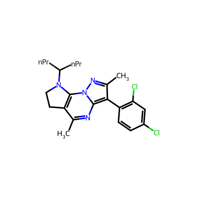 CCCC(CCC)N1CCc2c(C)nc3c(-c4ccc(Cl)cc4Cl)c(C)nn3c21